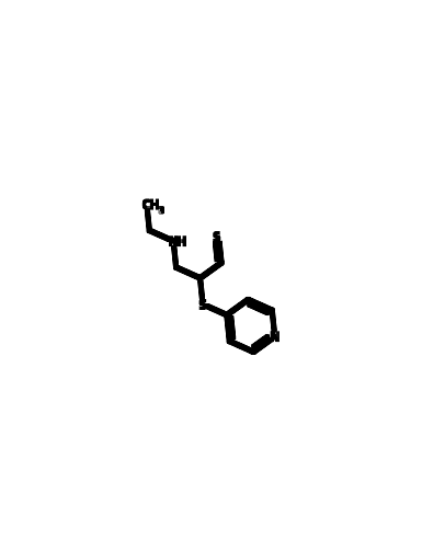 CCNCC(C=S)Sc1ccncc1